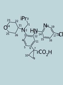 CC(C)CN(c1ccc(C2(C(=O)O)CC2)cc1Nc1ccc(Cl)cn1)C1CCOCC1